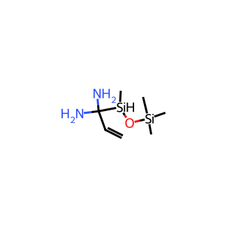 C=CC(N)(N)[SiH](C)O[Si](C)(C)C